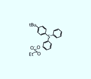 CC(C)(C)c1ccc([S+](c2ccccc2)c2ccccc2)cc1.CCS(=O)(=O)[O-]